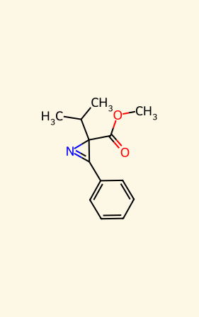 COC(=O)C1(C(C)C)N=C1c1ccccc1